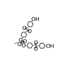 CCOP(=O)(Oc1ccc(S(=O)(=O)c2ccc(O)cc2)cc1)Oc1ccc(S(=O)(=O)c2ccc(O)cc2)cc1